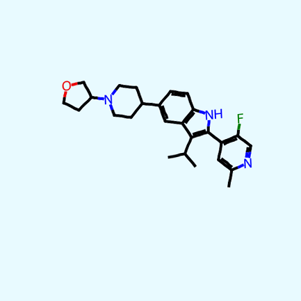 Cc1cc(-c2[nH]c3ccc(C4CCN(C5CCOC5)CC4)cc3c2C(C)C)c(F)cn1